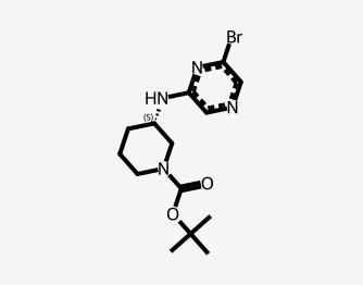 CC(C)(C)OC(=O)N1CCC[C@H](Nc2cncc(Br)n2)C1